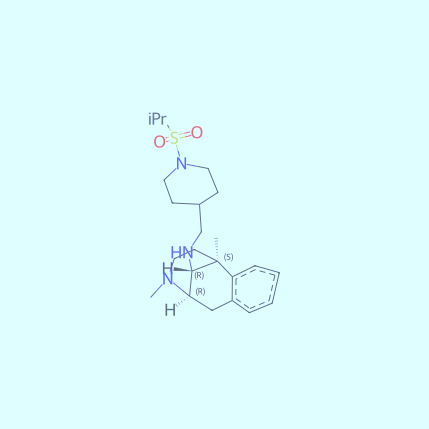 CC(C)S(=O)(=O)N1CCC(CN[C@H]2[C@H]3Cc4ccccc4[C@]2(C)CCN3C)CC1